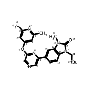 Cc1cc(Oc2cncc(-c3ccc4c(c3)n(C)c(=O)n4CC(C)(C)C)n2)cc(C)n1